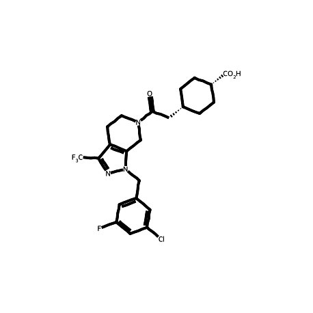 O=C(C[C@H]1CC[C@@H](C(=O)O)CC1)N1CCc2c(C(F)(F)F)nn(Cc3cc(F)cc(Cl)c3)c2C1